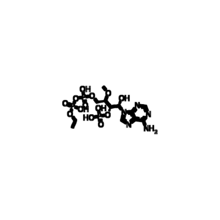 CCOP(=O)(O)OP(=O)(O)OC[C@@H](OC)[C@@H](OP(=O)(O)O)[C@@H](O)n1cnc2c(N)ncnc21